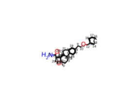 C[C@]12CC[C@@H]3c4ccc(CCOCc5ccccc5)cc4CC[C@H]3[C@@H]1[C@@H](C(N)=O)CO2